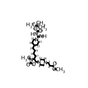 COC(=O)CCN1CCN(C2OC(=O)N(C)C2CCCCC2CCN(C(=N)NC(=O)OC(C)(C)C)CC2)CC1